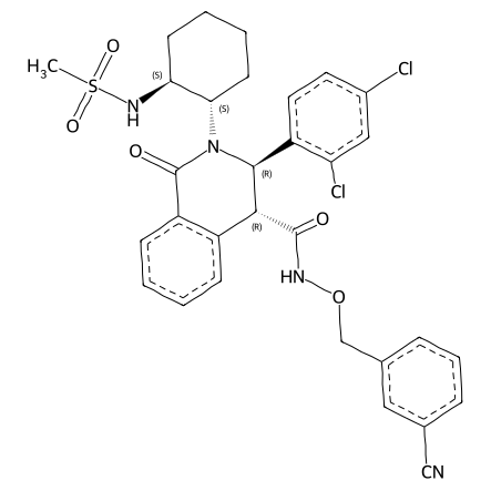 CS(=O)(=O)N[C@H]1CCCC[C@@H]1N1C(=O)c2ccccc2[C@@H](C(=O)NOCc2cccc(C#N)c2)[C@@H]1c1ccc(Cl)cc1Cl